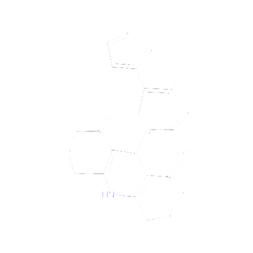 Cc1ccc(C2C3=C(COCC3=O)NC3=C2C(=O)COC3)cc1-c1ccco1